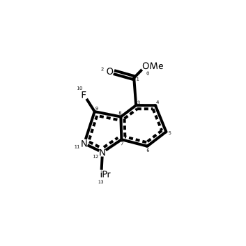 COC(=O)c1cccc2c1c(F)nn2C(C)C